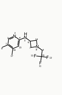 Cc1cnc(NC2CN(CC(F)(F)F)C2)cc1C